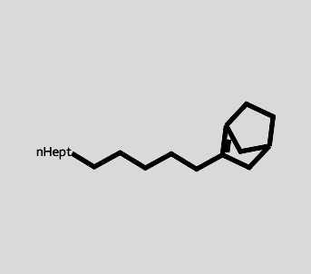 CCCCCCCCCCCCC1=C2CCC(C1)C2